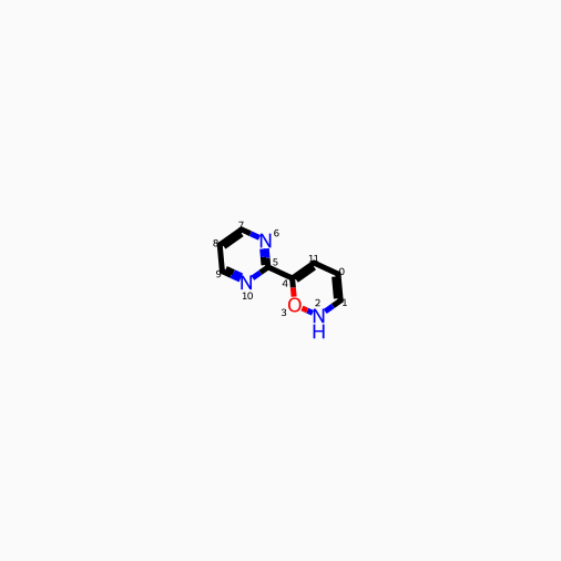 C1=CNOC(c2ncccn2)=C1